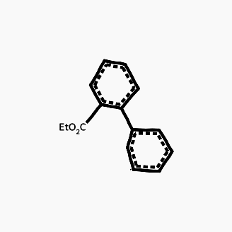 CCOC(=O)c1ccccc1-c1c[c]ccc1